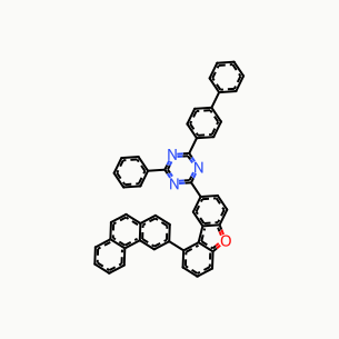 c1ccc(-c2ccc(-c3nc(-c4ccccc4)nc(-c4ccc5oc6cccc(-c7ccc8ccc9ccccc9c8c7)c6c5c4)n3)cc2)cc1